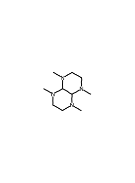 CN1CCN(C)C2C1N(C)CCN2C